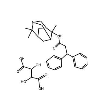 CC1(NC(=O)CC(c2ccccc2)c2ccccc2)C2CC3CC1CN(C2)C3(C)C.O=C(O)C(O)C(O)C(=O)O